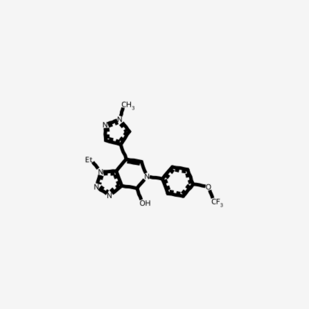 CCn1nnc2c1C(c1cnn(C)c1)=CN(c1ccc(OC(F)(F)F)cc1)C2O